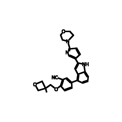 CC1(COc2ccc(-c3cccc4[nH]c(-c5ccc(N6CCOCC6)nc5)cc34)cc2C#N)COC1